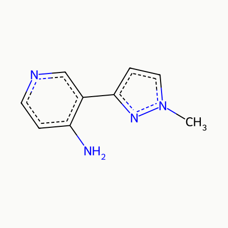 Cn1ccc(-c2cnccc2N)n1